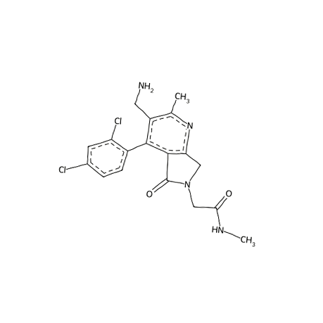 CNC(=O)CN1Cc2nc(C)c(CN)c(-c3ccc(Cl)cc3Cl)c2C1=O